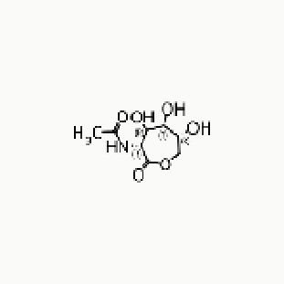 CC(=O)N[C@H]1C(=O)OC[C@@H](O)[C@H](O)[C@@H]1O